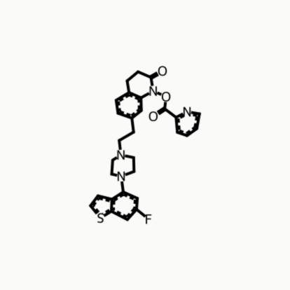 O=C(ON1C(=O)CCc2ccc(CCN3CCN(c4cc(F)cc5sccc45)CC3)cc21)c1ccccn1